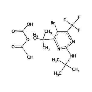 CC(C)(C)Nc1nc(C(C)(C)C)c(Br)c(C(F)(F)F)n1.O=C(O)OC(=O)O